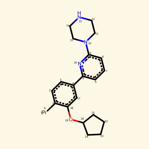 CC(C)c1ccc(-c2cccc(N3CCNCC3)n2)cc1OC1CCCC1